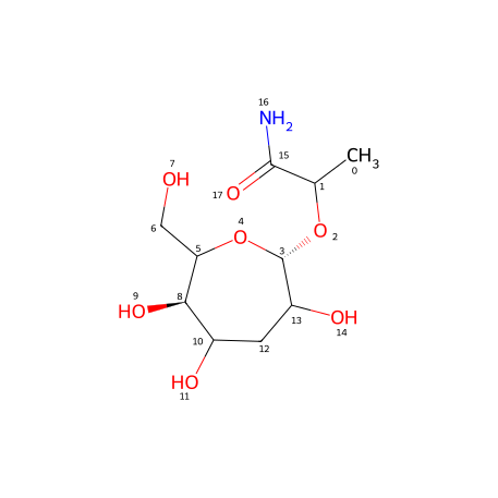 CC(O[C@H]1OC(CO)[C@H](O)C(O)CC1O)C(N)=O